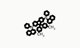 Cc1ccc(C2(c3ccc(C)cc3)c3cc(N(c4ccccc4)c4cccc5ccccc45)ccc3-c3ccc(N(c4ccccc4)c4cccc5ccccc45)cc32)cc1